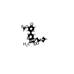 Cn1c(=O)n(CC(=O)N2CCC2)c2cc(-c3ccc(Cl)c(OC(F)F)c3)cnc21